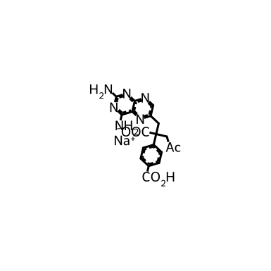 CC(=O)CC(Cc1cnc2nc(N)nc(N)c2n1)(C(=O)[O-])c1ccc(C(=O)O)cc1.[Na+]